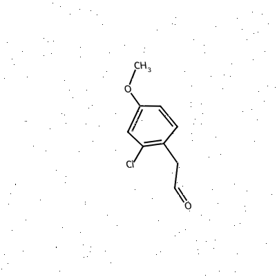 COc1ccc(CC=O)c(Cl)c1